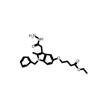 CCOC(=O)CCCOc1ccc2c(c1)c(CC(=O)NN)c(C)n2Cc1ccccc1